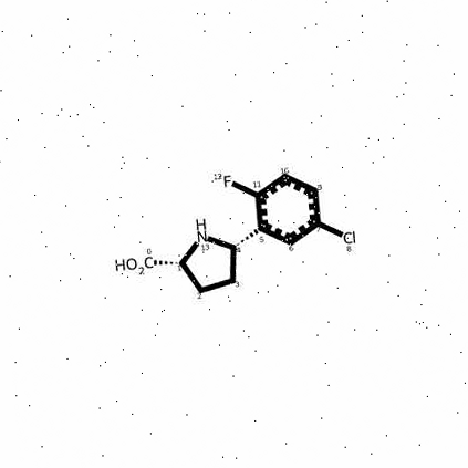 O=C(O)[C@H]1CC[C@@H](c2cc(Cl)ccc2F)N1